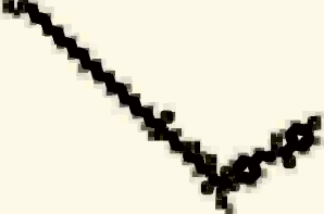 CCC=CCC=CCC=CCC=CCC=CCC=CCCC(=O)NCCNCCCNC(=O)C(C)(C)Oc1ccc(CCNC(=O)c2ccc(Cl)cc2)cc1